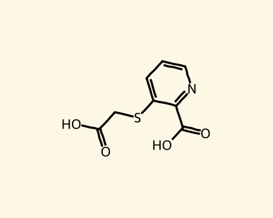 O=C(O)CSc1cccnc1C(=O)O